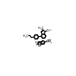 CC1=C2c3occc3C1[Si]2(C)C.CCCc1ccc(-c2cccc3c2C=C(C)[CH]3[Zr+2])cc1.[Cl-].[Cl-]